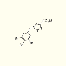 CCOC(=O)c1cn(Cc2cc(Br)c(Br)c(Br)c2)nn1